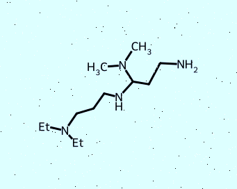 CCN(CC)CCCNC(CCN)N(C)C